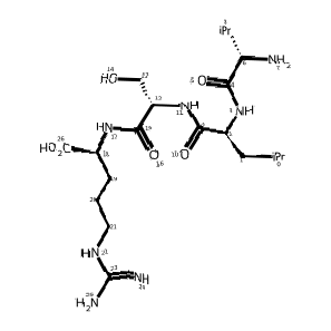 CC(C)C[C@H](NC(=O)[C@@H](N)C(C)C)C(=O)N[C@@H](CO)C(=O)N[C@@H](CCCNC(=N)N)C(=O)O